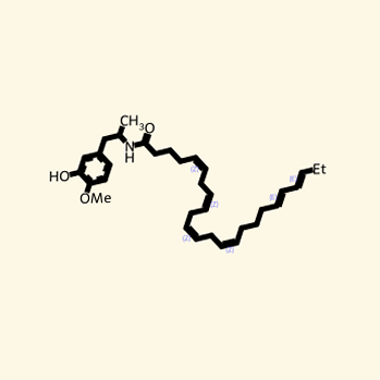 CC/C=C/C=C/CCC/C=C\C/C=C\C/C=C\C/C=C\CCCC(=O)NC(C)Cc1ccc(OC)c(O)c1